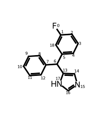 Fc1cccc(C(c2ccccc2)c2cnc[nH]2)c1